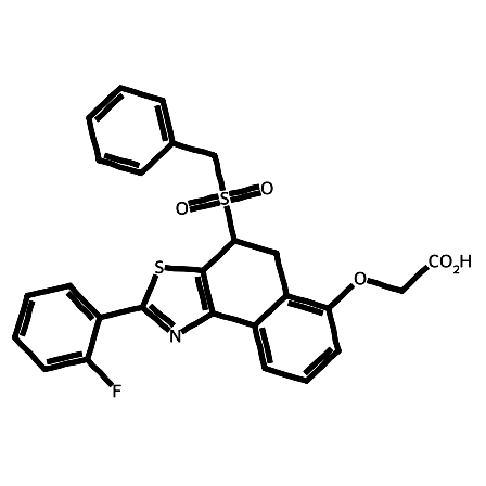 O=C(O)COc1cccc2c1CC(S(=O)(=O)Cc1ccccc1)c1sc(-c3ccccc3F)nc1-2